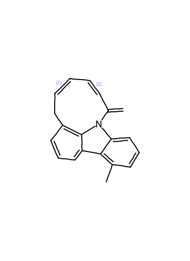 C=C1/C=C\C=C/Cc2cccc3c4c(C)cccc4n1c23